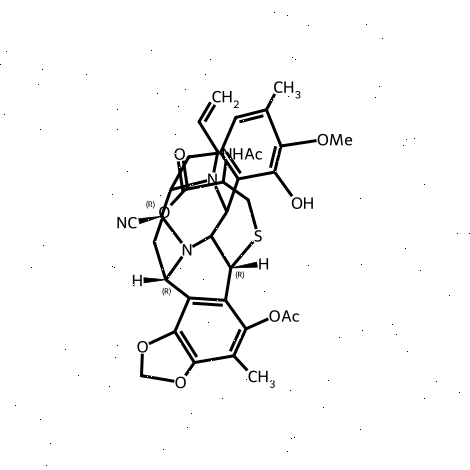 C=CCN1C2c3c(cc(C)c(OC)c3O)CC1[C@H](C#N)N1C2[C@@H]2SCC(NC(C)=O)C(=O)OC[C@H]1c1c3c(c(C)c(OC(C)=O)c12)OCO3